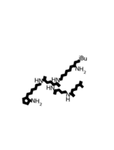 C=C(C)CCCC(=C)NCCCC(=C)NC(CCC(=C)NCCCCCCC1CCCC1N)C(=C)NCCCCCCC(N)CCC(C)CC